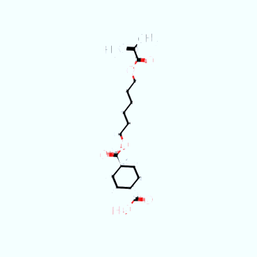 C=C(C)C(=O)OCCCCCCOC(=O)[C@H]1CC[C@H](C(=O)O)CC1